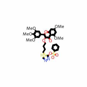 COc1cc(OC)c2c(=O)c(OCCCC[SH]3C=NN=C3OS(=O)(=O)c3ccccc3)c(-c3cc(OC)c(OC)c(OC)c3)oc2c1